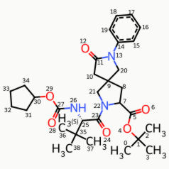 CC(C)(C)OC(=O)C1CC2(CC(=O)N(c3ccccc3)C2)CN1C(=O)[C@@H](NC(=O)OC1CCCC1)C(C)(C)C